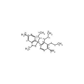 CCCc1c(N)ccc(C(CCC)(CCC)c2ccc(N)cc2)c1CCC